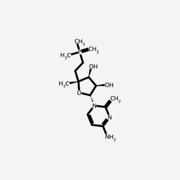 C=C1N=C(N)C=CN1[C@@H]1O[C@](C)(CCP(=C)(C)C)[C@@H](O)[C@H]1O